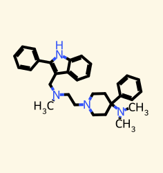 CN(CCN1CCC(c2ccccc2)(N(C)C)CC1)Cc1c(-c2ccccc2)[nH]c2ccccc12